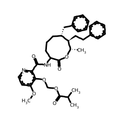 COc1ccnc(C(=O)NC2CCC[C@H](Cc3ccccc3)[C@@H](CCc3ccccc3)[C@H](C)OC2=O)c1OCOC(=O)C(C)C